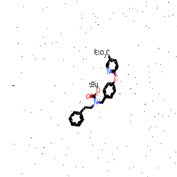 CCOC(=O)c1ccc(Oc2ccc(CN(CCc3ccccc3)C(=O)OC(C)(C)C)cc2)nc1